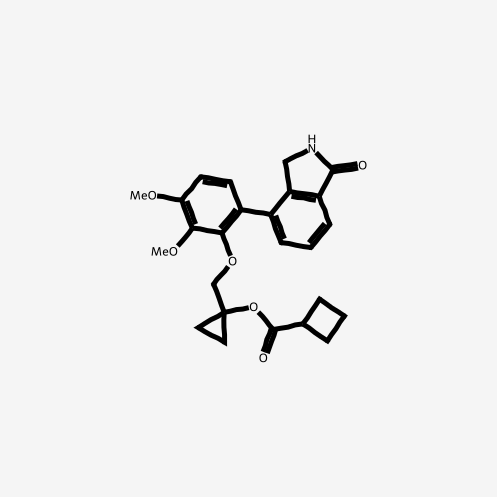 COc1ccc(-c2cccc3c2CNC3=O)c(OCC2(OC(=O)C3CCC3)CC2)c1OC